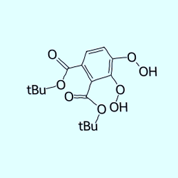 CC(C)(C)OC(=O)c1ccc(OO)c(OO)c1C(=O)OC(C)(C)C